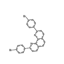 Brc1ccc(-c2ccc3ccc4ccc(-c5ccc(Br)cc5)nc4c3n2)cc1